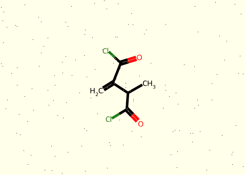 C=C(C(=O)Cl)C(C)C(=O)Cl